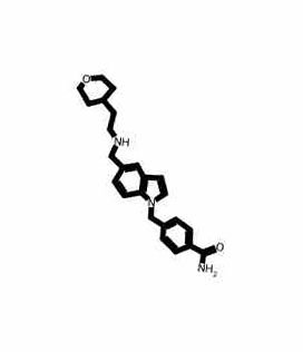 NC(=O)c1ccc(Cn2ccc3cc(CNCCC4CCOCC4)ccc32)cc1